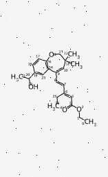 CCOC(=O)/C=C(/C=C/C1=CC(C)(C)COc2ccc(C(C)O)cc21)CC